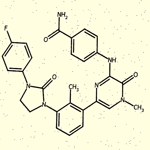 Cc1c(-c2cn(C)c(=O)c(Nc3ccc(C(N)=O)cc3)n2)cccc1N1CCN(c2ccc(F)cc2)C1=O